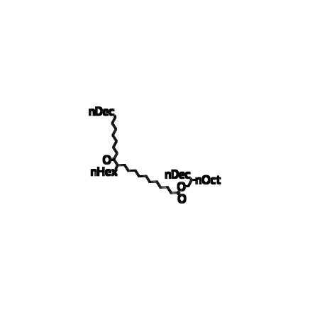 CCCCCCCCCCCCCCCCCC(=O)C(CCCCCC)CCCCCCCCCCC(=O)OCC(CCCCCCCC)CCCCCCCCCC